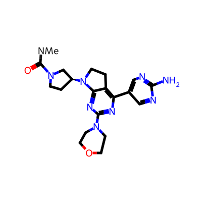 CNC(=O)N1CC[C@H](N2CCc3c(-c4cnc(N)nc4)nc(N4CCOCC4)nc32)C1